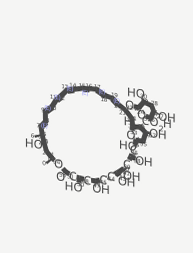 C[C@H]1C[C@H](O)[C@@H](C)/C=C/C=C/C=C/C=C/C=C/C=C/C=C/C(OC2OC[C@@H](O)C[C@@H]2O)C[C@@H]2OC(O)(CC(O)CC(O)C(O)CCC(O)CC(O)CC(=O)O1)C[C@H](O)[C@H]2C(=O)O